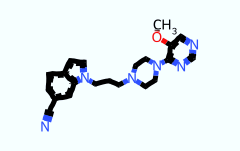 COc1cncnc1N1CCN(CCCn2ccc3ccc(C#N)cc32)CC1